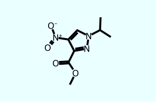 COC(=O)c1nn(C(C)C)cc1[N+](=O)[O-]